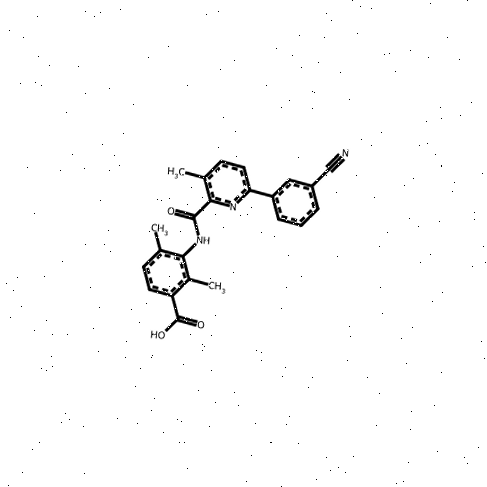 Cc1ccc(-c2cccc(C#N)c2)nc1C(=O)Nc1c(C)ccc(C(=O)O)c1C